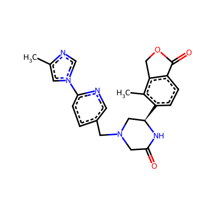 Cc1cn(-c2ccc(CN3CC(=O)N[C@H](c4ccc5c(c4C)COC5=O)C3)cn2)cn1